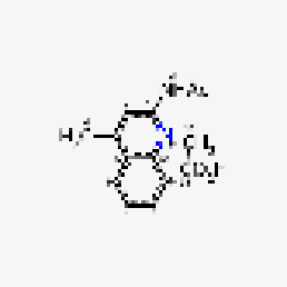 CC(=O)Nc1cc(C)c2ccccc2n1.CC(=O)O